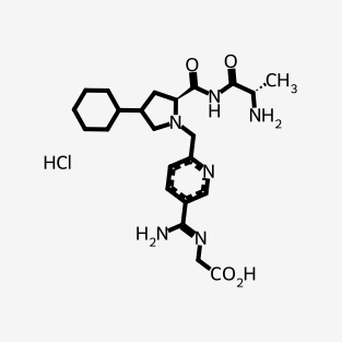 C[C@H](N)C(=O)NC(=O)[C@@H]1CC(C2CCCCC2)CN1Cc1ccc(C(N)=NCC(=O)O)cn1.Cl